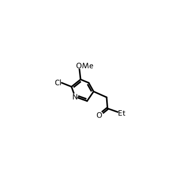 CCC(=O)Cc1cnc(Cl)c(OC)c1